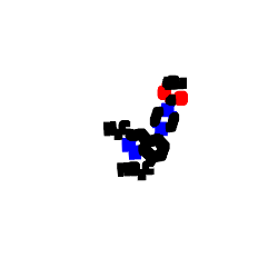 Cc1cc2c(N3CCN(C(=O)OC(C)(C)C)CC3)ccc(C(=O)O)c2nn1